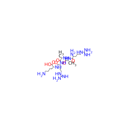 C[C@H](NC(=O)[C@H](C)NC(=O)[C@@H](N)CCCNC(=N)N)C(=O)N[C@@H](CCCNC(=N)N)C(=O)N[C@@H](CCCCN)C(=O)O